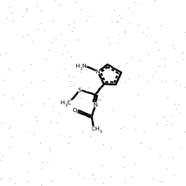 CS/C(=N\C(C)=O)c1cccn1N